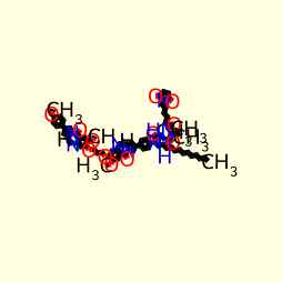 CCCCCCCCCCCCCN(C(=O)[C@H](C)NC(=O)[C@@H](NC(=O)CCCCCN1C(=O)C=CC1=O)C(C)C)c1ccc(C2=CN3C(=O)c4cc(OC)c(OCCCOc5cc6c(cc5OC)C(=O)N5C=C(c7ccc(OC)cc7)C[C@H]5C=N6)cc4N=C[C@@H]3C2)cc1